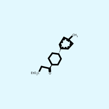 CCOC(=O)CC(=O)[C@H]1CC[C@H](c2ccc(C)cc2)CC1